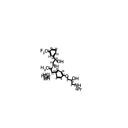 CC(C)NCC(O)COc1ccc(CC(C)NCC(O)c2cccc(C(F)(F)F)c2)cc1.Cl.Cl.[HH]